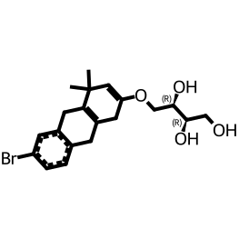 CC1(C)C=C(OC[C@@H](O)[C@H](O)CO)CC2=C1Cc1cc(Br)ccc1C2